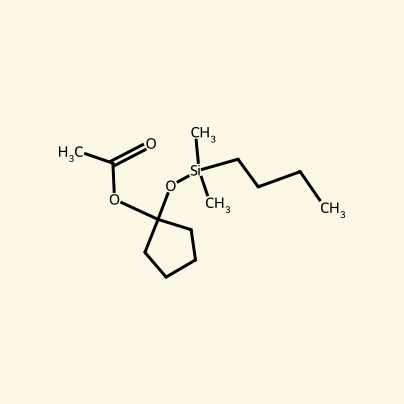 CCCC[Si](C)(C)OC1(OC(C)=O)CCCC1